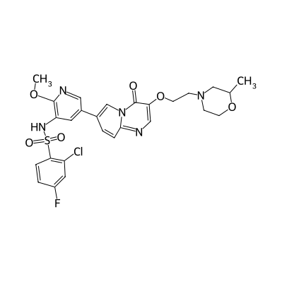 COc1ncc(-c2ccc3ncc(OCCN4CCOC(C)C4)c(=O)n3c2)cc1NS(=O)(=O)c1ccc(F)cc1Cl